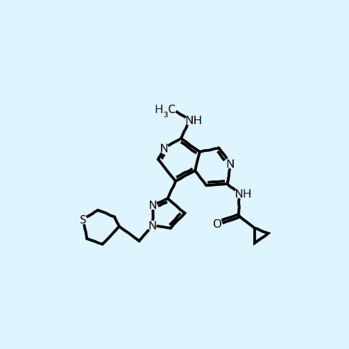 CNc1ncc(-c2ccn(CC3CCSCC3)n2)c2cc(NC(=O)C3CC3)ncc12